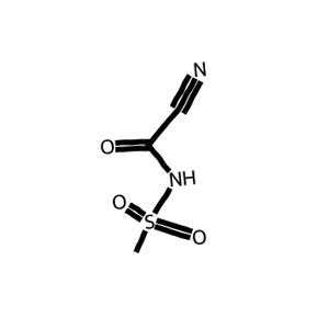 CS(=O)(=O)NC(=O)C#N